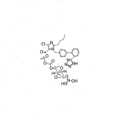 CCCCc1nc(Cl)c(C(=O)O[C@H](C)OC(=O)O[C@H]2CO[C@H]3[C@@H]2OC[C@H]3ON(O)O)n1Cc1ccc(-c2ccccc2-c2nnn[nH]2)cc1